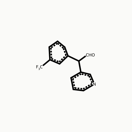 O=CC(c1cccnc1)c1cccc(C(F)(F)F)c1